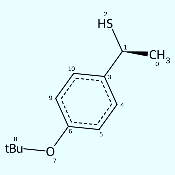 C[C@H](S)c1ccc(OC(C)(C)C)cc1